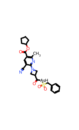 Cc1nc(N2CC(C(=O)[AsH]S(=O)(=O)Cc3ccccc3)C2)c(C#N)cc1C(=O)OC1CCCC1